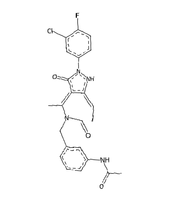 C/C=c1/[nH]n(-c2ccc(F)c(Cl)c2)c(=O)/c1=C(\C)N(C=O)Cc1cccc(NC(C)=O)c1